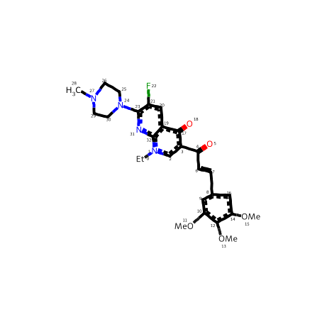 CCn1cc(C(=O)C=Cc2cc(OC)c(OC)c(OC)c2)c(=O)c2cc(F)c(N3CCN(C)CC3)nc21